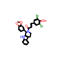 O=C(/C=C/c1cc(Br)c(O)c(Br)c1)N1CCc2c([nH]c3ccccc23)C1c1ccc2c(c1)OCO2